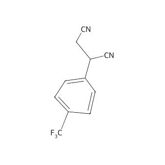 N#CCC(C#N)c1ccc(C(F)(F)F)cc1